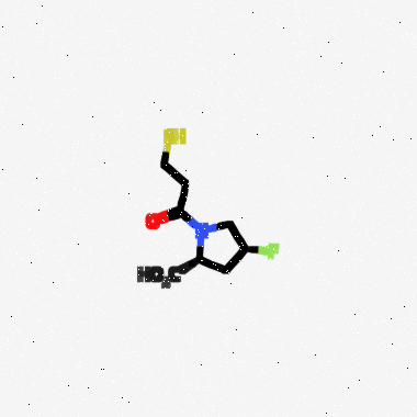 O=C(O)[C@@H]1C[C@H](F)CN1C(=O)CCS